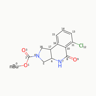 CCCCOC(=O)N1CC2NC(=O)c3c(Cl)cccc3C2C1